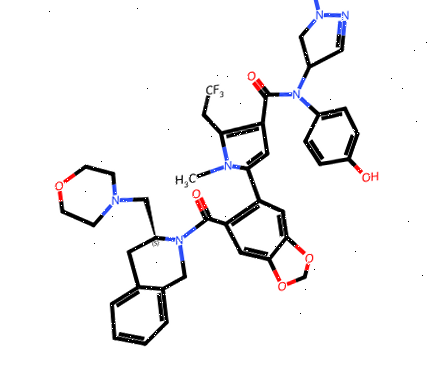 CN1CC(N(C(=O)c2cc(-c3cc4c(cc3C(=O)N3Cc5ccccc5C[C@H]3CN3CCOCC3)OCO4)n(C)c2CC(F)(F)F)c2ccc(O)cc2)C=N1